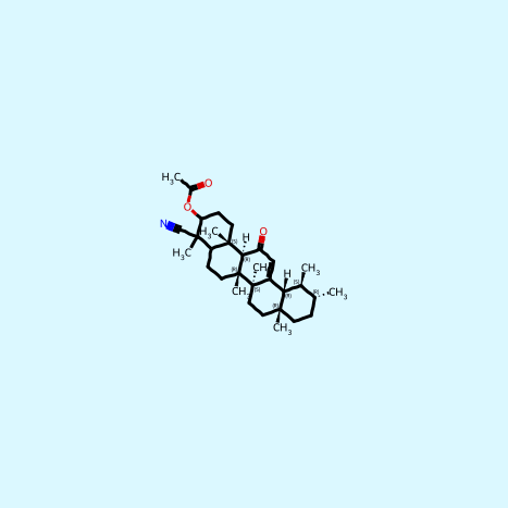 CC(=O)OC1CC[C@@]2(C)C(CC[C@]3(C)[C@@H]2C(=O)C=C2[C@@H]4[C@@H](C)[C@H](C)CC[C@]4(C)CC[C@]23C)C1(C)C#N